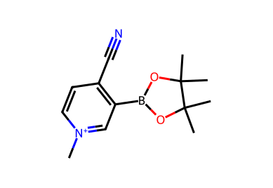 C[n+]1ccc(C#N)c(B2OC(C)(C)C(C)(C)O2)c1